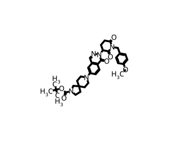 COc1ccc(CN2C(=O)CCC(n3ncc4cc(N5CCC6(CCN(C(=O)OC(C)(C)C)C6)CC5)ccc4c3=O)C2=O)cc1